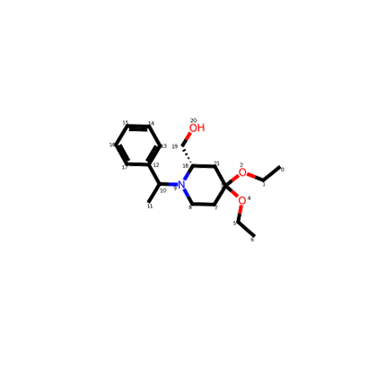 CCOC1(OCC)CCN(C(C)c2ccccc2)[C@H](CO)C1